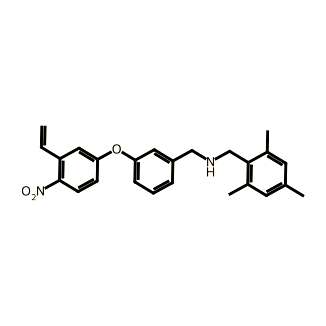 C=Cc1cc(Oc2cccc(CNCc3c(C)cc(C)cc3C)c2)ccc1[N+](=O)[O-]